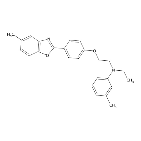 CCN(CCOc1ccc(-c2nc3cc(C)ccc3o2)cc1)c1cccc(C)c1